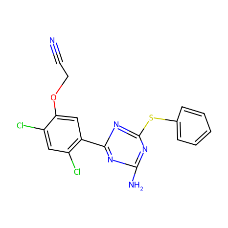 N#CCOc1cc(-c2nc(N)nc(Sc3ccccc3)n2)c(Cl)cc1Cl